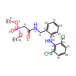 CCOP(=O)(CC(=O)NCc1ccccc1Nc1c(Cl)cccc1Cl)OCC